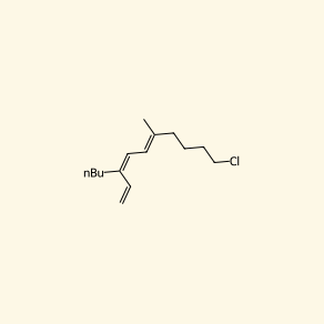 C=C/C(=C\C=C(/C)CCCCCl)CCCC